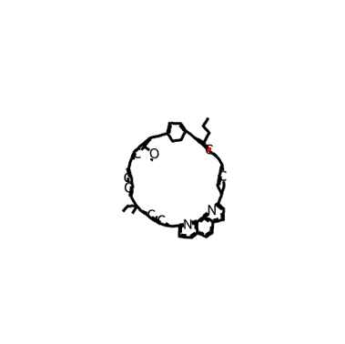 CCCC1CC2C=CC1C1=CC=C(CC1)C1=CC=C(CC1OC)C1=CC=C(CC1)C(C)(CC)C1C=CC(CC1)c1ccc3ccc4ccc(nc4c3n1)C1C=CC2CC1